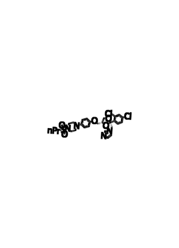 CCCS(=O)(=O)N1CCN(c2ccc(OC[C@@H]3CO[C@@](Cn4ccnc4)(c4ccc(Cl)cc4Cl)O3)cc2)CC1